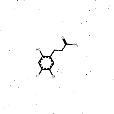 CCc1cc(O)c(CCC(N)=O)cc1CC